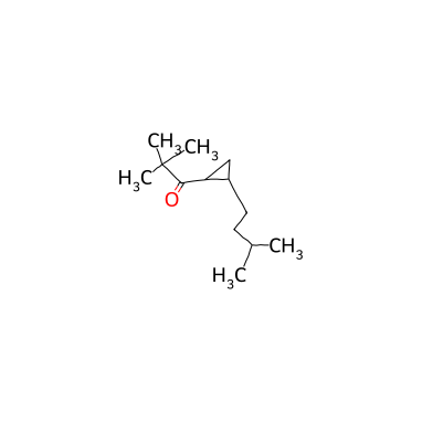 CC(C)CCC1CC1C(=O)C(C)(C)C